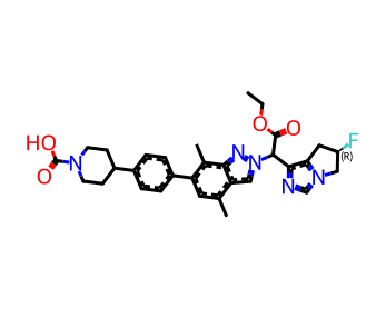 CCOC(=O)C(c1ncn2c1C[C@@H](F)C2)n1cc2c(C)cc(-c3ccc(C4CCN(C(=O)O)CC4)cc3)c(C)c2n1